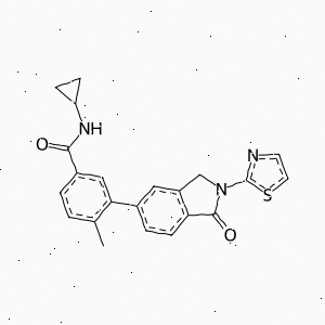 Cc1ccc(C(=O)NC2CC2)cc1-c1ccc2c(c1)CN(c1nccs1)C2=O